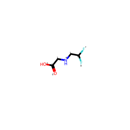 O=C(O)CNCC(F)F